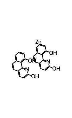 Oc1ccc2ccc3cccc(O)c3c2n1.Oc1ccc2ccc3cccc(O)c3c2n1.[Zn]